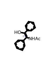 CC(=O)N/C(=C(/O)c1ccccc1)c1ccccc1